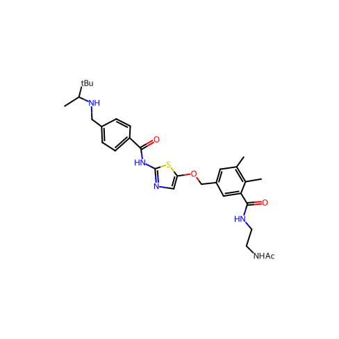 CC(=O)NCCNC(=O)c1cc(COc2cnc(NC(=O)c3ccc(CNC(C)C(C)(C)C)cc3)s2)cc(C)c1C